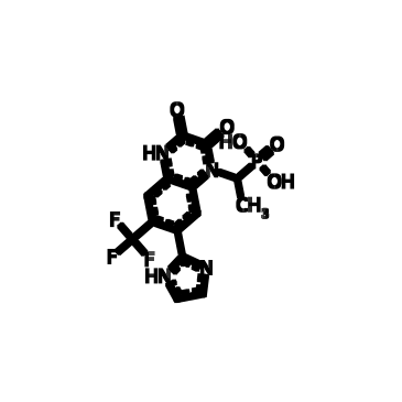 CC(n1c(=O)c(=O)[nH]c2cc(C(F)(F)F)c(-c3ncc[nH]3)cc21)P(=O)(O)O